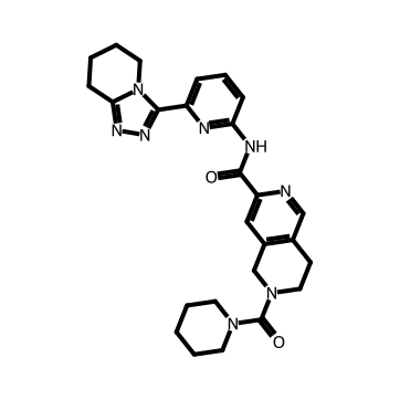 O=C(Nc1cccc(-c2nnc3n2CCCC3)n1)c1cc2c(cn1)CCN(C(=O)N1CCCCC1)C2